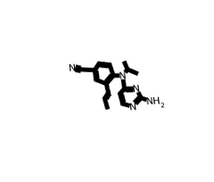 CC=Cc1cc(C#N)ccc1N(c1ccnc(N)n1)C(C)C